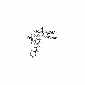 COc1ccc(Nc2ncc3c(n2)-c2ccc(CCCN4CCCCC4)cc2NC(=O)C3)cc1OC